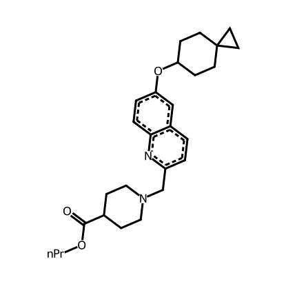 CCCOC(=O)C1CCN(Cc2ccc3cc(OC4CCC5(CC4)CC5)ccc3n2)CC1